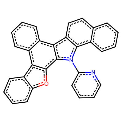 c1ccc(-n2c3c4ccccc4ccc3c3c4ccccc4c4c5ccccc5oc4c32)nc1